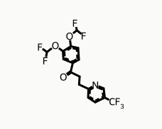 O=C(CCc1ccc(C(F)(F)F)cn1)c1ccc(OC(F)F)c(OC(F)F)c1